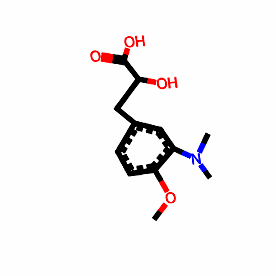 COc1ccc(CC(O)C(=O)O)cc1N(C)C